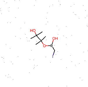 CC(C)(O)C(C)(C)OB(O)CI